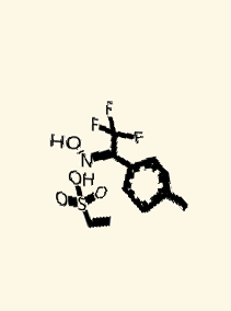 C=CS(=O)(=O)O.Cc1ccc(/C(=N/O)C(F)(F)F)cc1